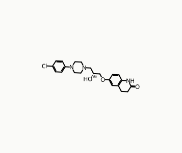 O=C1CCc2cc(OC[C@H](O)CN3CCN(c4ccc(Cl)cc4)CC3)ccc2N1